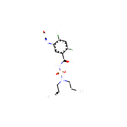 C=CCN(CCC)S(=O)(=O)NC(=O)c1cc(N=C=O)c(F)cc1Cl